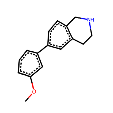 COc1cccc(-c2ccc3c(c2)CCNC3)c1